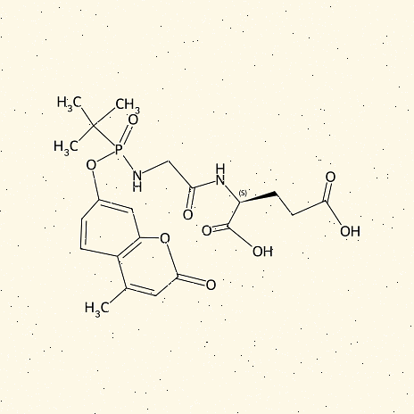 Cc1cc(=O)oc2cc(OP(=O)(NCC(=O)N[C@@H](CCC(=O)O)C(=O)O)C(C)(C)C)ccc12